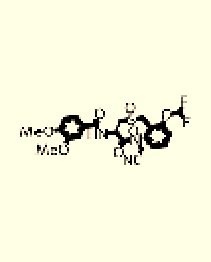 COc1ccc(C(=O)N[C@@H](CS(=O)(=O)Cc2ccccc2OC(F)F)C(=O)NCC#N)cc1OC